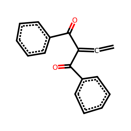 C=C=C(C(=O)c1ccccc1)C(=O)c1ccccc1